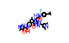 Cc1cc(-c2nc3n(CC(=O)Nc4ccc(C5CC5)cc4F)c4c(c(=O)n3n2)C2(CCN(C(=O)c3ncnc(C)c3O)CC2)CC4C)cc(C)n1